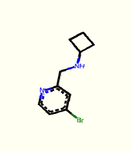 Brc1ccnc(CNC2CCC2)c1